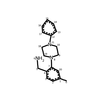 Cc1ccc(CN)c(N2CCN(c3ccccc3)CC2)c1